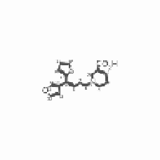 O=C(O)C1=CCCN(CCC=C(c2ccoc2)c2cccs2)C1